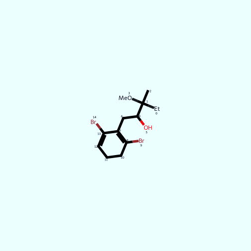 CCC(C)(OC)C(O)CC1=C(Br)CCC=C1Br